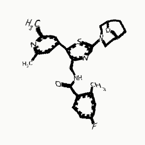 Cc1cc(-c2sc(N3CC4CCC(C3)O4)nc2CNC(=O)c2ccc(F)cc2C)cc(C)n1